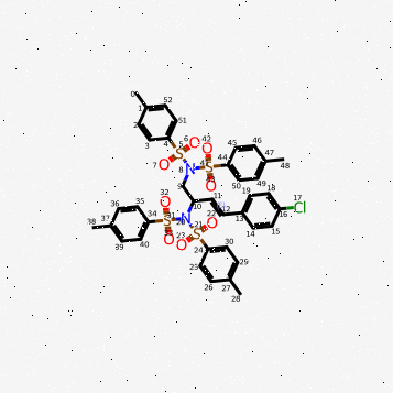 Cc1ccc(S(=O)(=O)N(CC(/C=C/c2ccc(Cl)cc2)N(S(=O)(=O)c2ccc(C)cc2)S(=O)(=O)c2ccc(C)cc2)S(=O)(=O)c2ccc(C)cc2)cc1